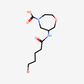 O=C(CCCCBr)NC1COCCN(C(=O)O)C1